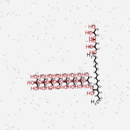 CCCCCCCCCCCCC(CCCC)C(=O)O.OCC(O)CO.OCC(O)CO.OCC(O)CO.OCC(O)CO.OCC(O)CO.OCC(O)CO.OCC(O)CO.OCC(O)CO.OCC(O)CO.OCC(O)CO